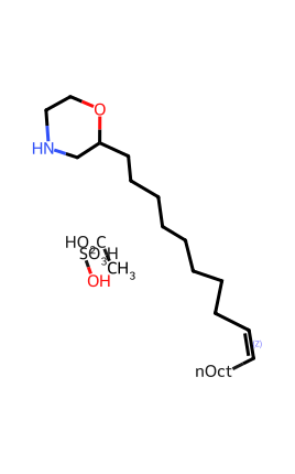 CC(=O)O.CCCCCCCC/C=C\CCCCCCCCC1CNCCO1.O=S(=O)(O)O